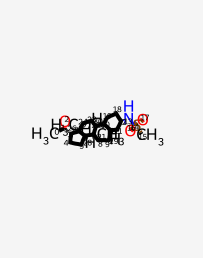 CC(=O)[C@H]1CC[C@H]2[C@@H]3CC[C@H]4C[C@@H](NS(C)(=O)=O)CC[C@]4(C)[C@H]3CC[C@]12C